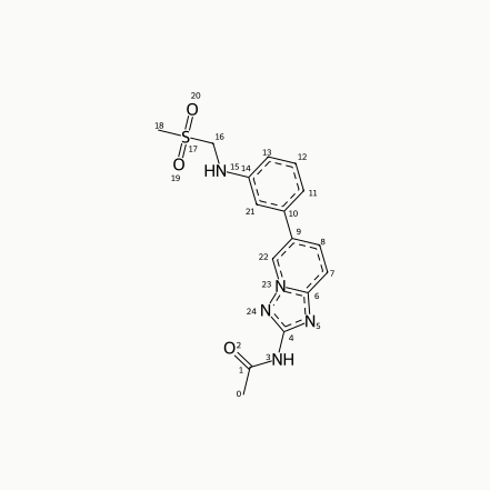 CC(=O)Nc1nc2ccc(-c3cccc(NCS(C)(=O)=O)c3)cn2n1